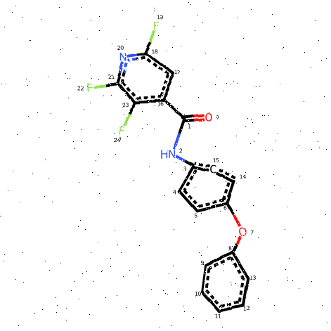 O=C(Nc1ccc(Oc2ccccc2)cc1)c1cc(F)nc(F)c1F